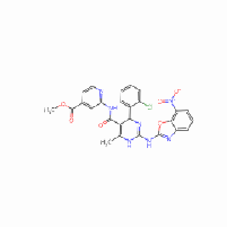 COC(=O)c1ccnc(NC(=O)C2=C(C)NC(Nc3nc4cccc([N+](=O)[O-])c4o3)=NC2c2ccccc2Cl)c1